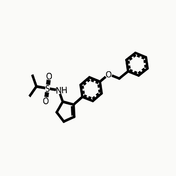 CC(C)S(=O)(=O)NC1CCC=C1c1ccc(OCc2ccccc2)cc1